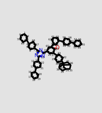 c1ccc(-c2ccc(-c3nc(-c4ccc(-c5ccccc5)cc4)nc(-c4cc(-c5ccc(C67CC8CC(CC(C8)C6)C7)cc5)c5oc6c(-c7ccc(-c8ccccc8)cc7)cccc6c5c4)n3)cc2)cc1